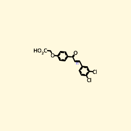 O=C(O)COc1ccc(C(=O)/C=C/c2ccc(Cl)c(Cl)c2)cc1